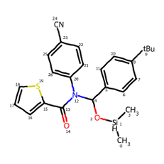 C[SiH](C)OC(c1ccc(C(C)(C)C)cc1)N(C(=O)c1cccs1)c1ccc(C#N)cc1